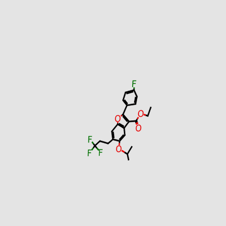 CCOC(=O)c1c(-c2ccc(F)cc2)oc2cc(CCC(F)(F)F)c(OC(C)C)cc12